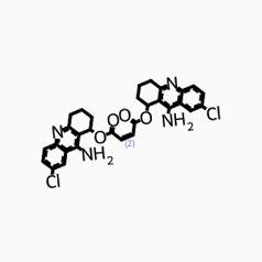 Nc1c2c(nc3ccc(Cl)cc13)CCCC2OC(=O)/C=C\C(=O)OC1CCCc2nc3ccc(Cl)cc3c(N)c21